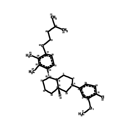 COc1cc(N2CCN3[C@@H](CCC[C@@H]3c3ccc(OCCC(C)C)c(C)c3C)C2)ccc1Cl